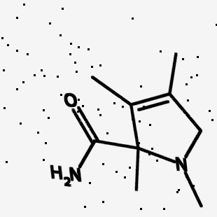 CC1=C(C)C(C)(C(N)=O)N(C)C1